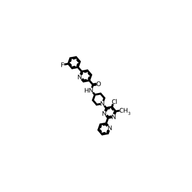 Cc1nc(-c2ccccn2)nc(N2CCC(NC(=O)c3ccc(-c4cccc(F)c4)nc3)CC2)c1Cl